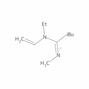 C=CN(CC)/C(=N\C)C(C)CC